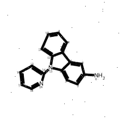 Nc1ccc2c(c1)c1ccccc1n2-c1ccccn1